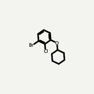 Clc1c(Br)cccc1OC1CCCCC1